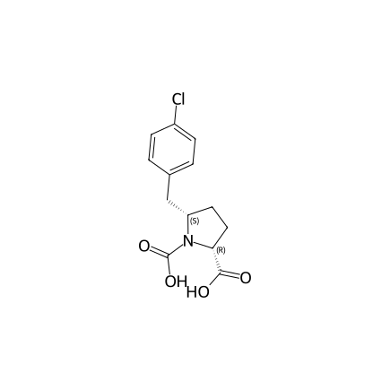 O=C(O)[C@H]1CC[C@@H](Cc2ccc(Cl)cc2)N1C(=O)O